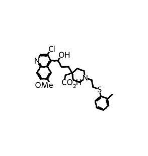 COc1ccc2ncc(Cl)c(C(O)CCC3(CC(=O)O)CCN(CCSc4ccccc4C)CC3)c2c1